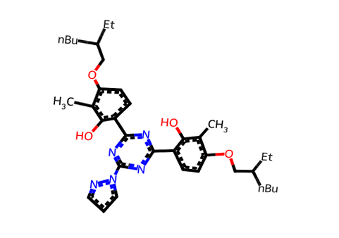 CCCCC(CC)COc1ccc(-c2nc(-c3ccc(OCC(CC)CCCC)c(C)c3O)nc(-n3cccn3)n2)c(O)c1C